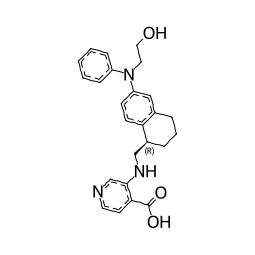 O=C(O)c1ccncc1NC[C@@H]1CCCc2cc(N(CCO)c3ccccc3)ccc21